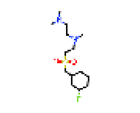 CN(C)CCN(C)CCS(=O)(=O)CC1CCC[C@H](F)C1